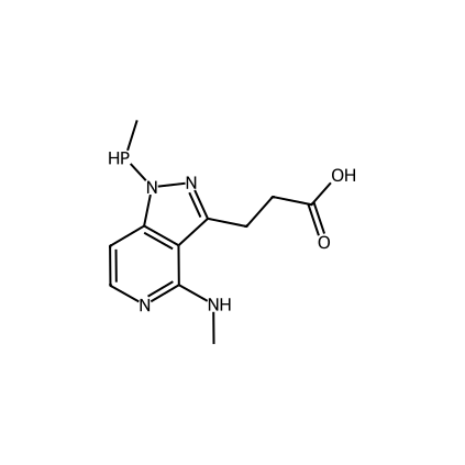 CNc1nccc2c1c(CCC(=O)O)nn2PC